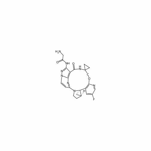 NCC(=O)Nc1nn2ccc3nc2c1C(=O)NC1(CC1)COc1ncc(F)cc1[C@@]12C[C@@H]1CCN32